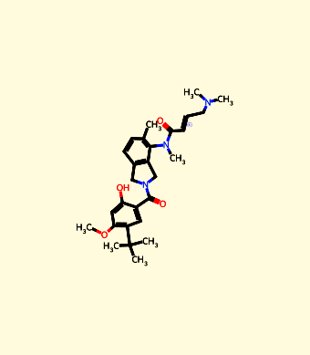 COc1cc(O)c(C(=O)N2Cc3ccc(C)c(N(C)C(=O)/C=C/CN(C)C)c3C2)cc1C(C)(C)C